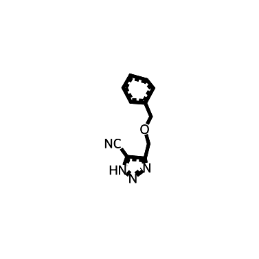 N#Cc1[nH]nnc1COCc1ccccc1